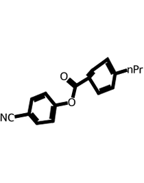 CCCc1ccc(C(=O)Oc2ccc(C#N)cc2)cc1